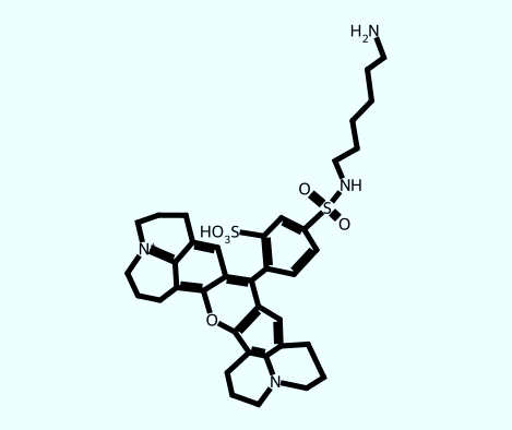 NCCCCCCNS(=O)(=O)c1ccc(C2=c3cc4c5c(c3Oc3c2cc2c6c3CCCN6CCC2)CCC[N+]=5CCC4)c(S(=O)(=O)O)c1